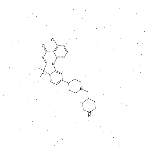 CC1(C)c2ccc(C3CCN(CC4CCNCC4)CC3)cc2-n2c1nc(=O)c1c(Cl)cccc12